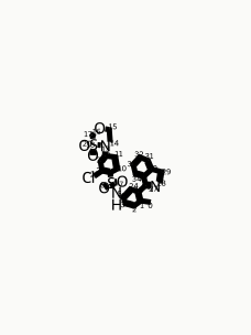 Cc1ccc(NS(=O)(=O)c2ccc(N3CCOCS3(=O)=O)cc2Cl)cc1-c1nccc2ccccc12